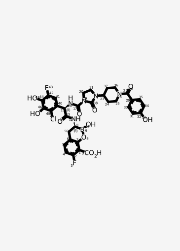 O=C(O)c1c(F)ccc2c1OB(O)[C@@H](NC(=O)[C@H](NC(=O)N1CCN(C3CCN(C(=O)c4ccc(O)cc4)CC3)C1=O)c1cc(F)c(O)c(O)c1Cl)C2